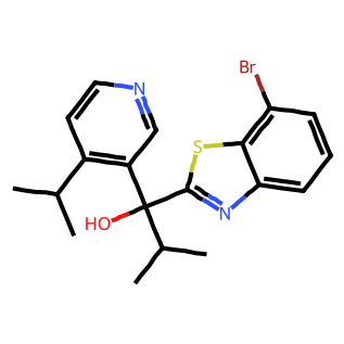 CC(C)c1ccncc1C(O)(c1nc2cccc(Br)c2s1)C(C)C